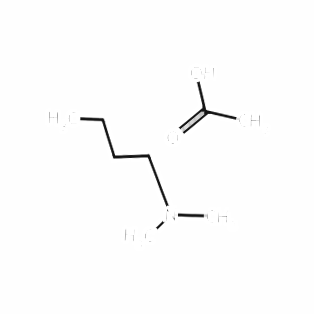 CC(=O)O.CCCCN(C)C